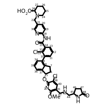 COc1nc(O[C@H]2CCc3c(-c4cccc(C(=O)Nc5ccc(CN6CCCCC6C(=O)O)cn5)c4Cl)cccc32)c(Cl)cc1CNCC1CCC(=O)N1